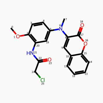 COc1ccc(N(C)c2cc3ccccc3oc2=O)cc1NC(=O)CCl